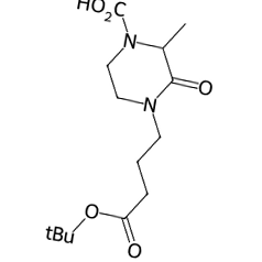 CC1C(=O)N(CCCC(=O)OC(C)(C)C)CCN1C(=O)O